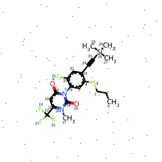 CCCSc1cc(-n2c(=O)cc(C(F)(F)F)n(C)c2=O)c(F)cc1C#C[Si](C)(C)C